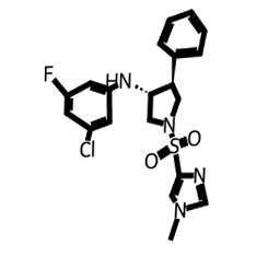 Cn1cnc(S(=O)(=O)N2C[C@H](Nc3cc(F)cc(Cl)c3)[C@@H](c3ccccc3)C2)c1